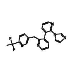 CC(F)(F)c1ccc(Cc2ncccc2-c2cccnc2-n2ccnc2)cn1